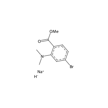 COC(=O)c1ccc(Br)cc1N(C)C.[H-].[Na+]